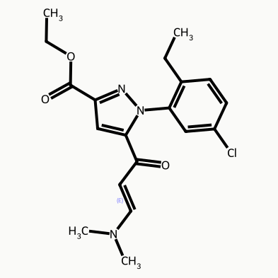 CCOC(=O)c1cc(C(=O)/C=C/N(C)C)n(-c2cc(Cl)ccc2CC)n1